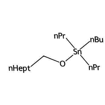 CCCCCCCC[O][Sn]([CH2]CC)([CH2]CC)[CH2]CCC